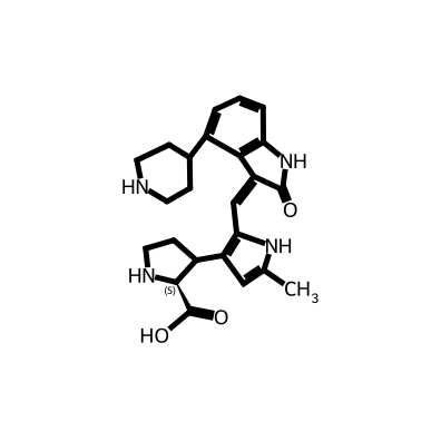 Cc1cc(C2CCN[C@@H]2C(=O)O)c(C=C2C(=O)Nc3cccc(C4CCNCC4)c32)[nH]1